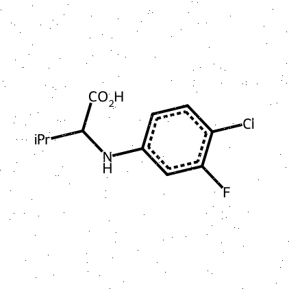 CC(C)C(Nc1ccc(Cl)c(F)c1)C(=O)O